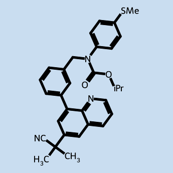 CSc1ccc(N(Cc2cccc(-c3cc(C(C)(C)C#N)cc4cccnc34)c2)C(=O)OC(C)C)cc1